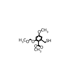 COCOc1cc(OC)cc(CS)c1C(=O)OC